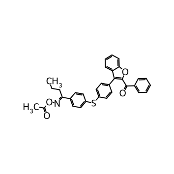 CCC/C(=N\OC(C)=O)c1ccc(Sc2ccc(-c3c(C(=O)c4ccccc4)oc4ccccc34)cc2)cc1